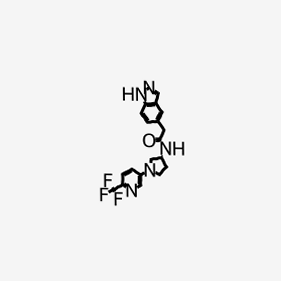 O=C(Cc1ccc2[nH]ncc2c1)N[C@@H]1CCN(c2ccc(C(F)(F)F)nc2)C1